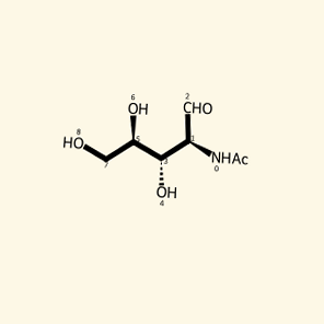 CC(=O)N[C@H](C=O)[C@H](O)[C@H](O)CO